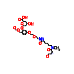 CN(CCCCCC(=O)NCCOCCOc1ccc(COC=O)c(OC2CC(O)CC(C(=O)O)O2)c1)C(=O)/C=C\C=O